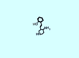 N[C]1CCNCC1C=Cc1ccccc1O